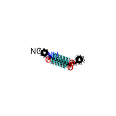 N#Cc1ccc(NC(=O)C(F)(F)C(F)(F)C(F)(F)C(F)(F)C(F)(F)C(F)(F)C(=O)OCc2ccccc2)cc1